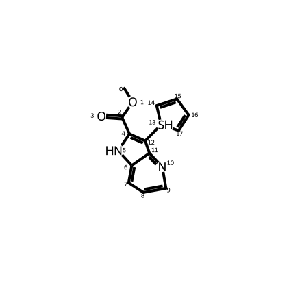 COC(=O)c1[nH]c2cccnc2c1[SH]1C=CC=C1